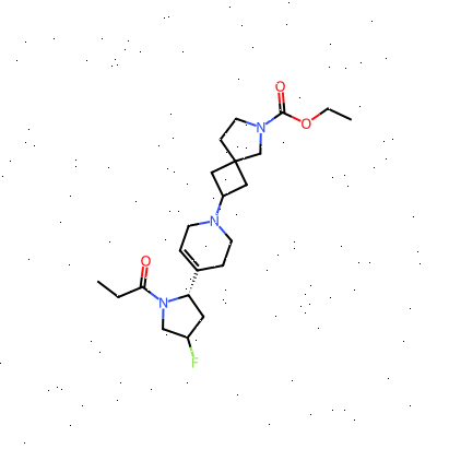 CCOC(=O)N1CCC2(CC(N3CC=C([C@@H]4CC(F)CN4C(=O)CC)CC3)C2)C1